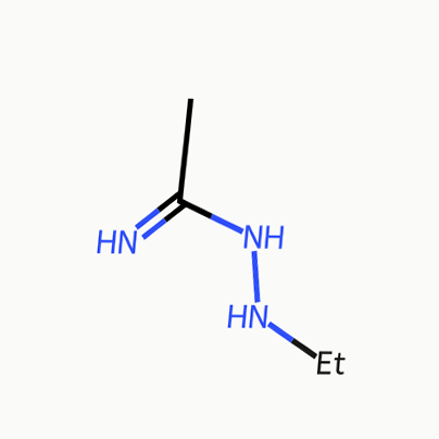 CCNNC(C)=N